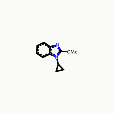 COc1nc2ccccc2n1C1CC1